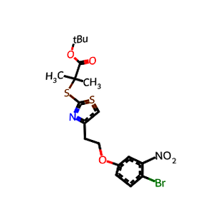 CC(C)(C)OC(=O)C(C)(C)Sc1nc(CCOc2ccc(Br)c([N+](=O)[O-])c2)cs1